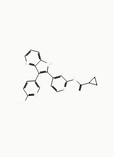 Cc1ccc(-c2c(-c3ccnc(NC(=O)C4CC4)c3)[nH]c3cccnc23)cn1